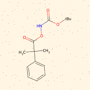 CC(C)(C)OC(=O)NOC(=O)C(C)(C)c1ccccc1